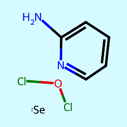 ClOCl.Nc1ccccn1.[Se]